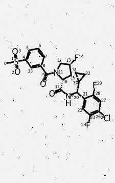 CS(=O)(=O)c1cccc(C(=O)N2C[C@@H](F)C[C@@H]2C(=O)NC(c2cc(F)c(Cl)cc2F)C2CC2)c1